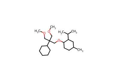 COCC(COC)(COC1CCC(C)CC1C(C)C)C1CCCCC1